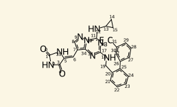 O=C1NC(=O)/C(=C/c2cnn3c(NC4CC4)nc(NCc4ccccc4-c4cccc(C(F)(F)F)c4)nc23)N1